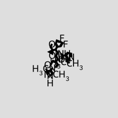 Cc1n[nH]c(C)c1-n1ccc(NC(=O)[C@@H](NC(=O)c2ccnn2C(C)C)C2c3cc(F)c(F)cc3OCC23CC3)cc1=O